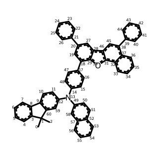 CC1(C)c2ccccc2-c2ccc(N(c3ccc(-c4cc(-c5ccccc5)cc5c4oc4c6ccccc6c(-c6ccccc6)cc54)cc3)c3ccc4ccccc4c3)cc21